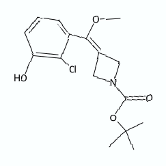 COC(=C1CN(C(=O)OC(C)(C)C)C1)c1cccc(O)c1Cl